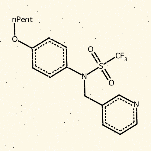 CCCCCOc1ccc(N(Cc2cccnc2)S(=O)(=O)C(F)(F)F)cc1